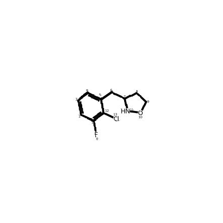 Fc1cccc(CC2CCON2)c1Cl